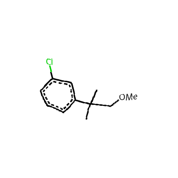 COCC(C)(C)c1cccc(Cl)c1